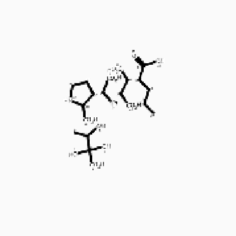 CC(C)CC(=O)O.CC(O)C(O)(O)C(=O)O.CCCCC(=O)O.O=C(O)C1CCCN1.O=C(O)CCC(=O)O